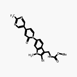 CCc1c(CNC(=O)OC(C)(C)C)c2ccc(-n3ccc(-c4cnc(C(F)(F)F)nc4)cc3=O)cc2n1C